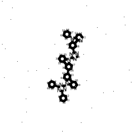 c1ccc(-c2nc(-c3ccccc3)nc(-n3c4ccccc4c4cc(-c5ccc6c(c5)c5ccccc5n6-c5ncnc(-c6ccc7c(c6)c6ncccc6n7-c6ccccc6)n5)ccc43)n2)cc1